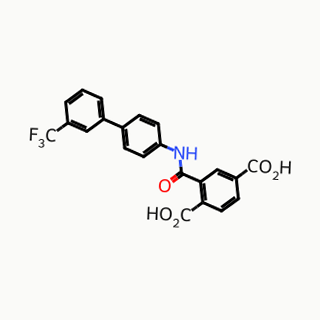 O=C(O)c1ccc(C(=O)O)c(C(=O)Nc2ccc(-c3cccc(C(F)(F)F)c3)cc2)c1